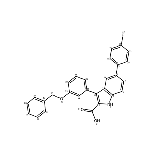 O=C(O)c1[nH]c2ccc(-c3ccc(F)cc3)cc2c1-c1cccc(OCc2ccccc2)c1